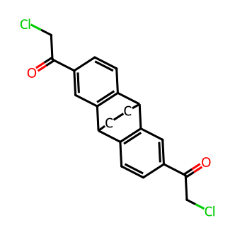 O=C(CCl)c1ccc2c(c1)C1CCC2c2cc(C(=O)CCl)ccc21